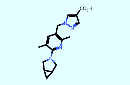 Cc1cc(Cn2cc(C(=O)O)cn2)c(C)nc1N1CC2CC2C1